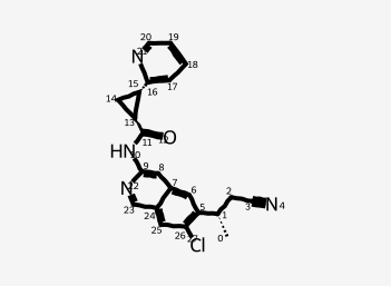 C[C@@H](CC#N)c1cc2cc(NC(=O)[C@H]3C[C@@H]3c3ccccn3)ncc2cc1Cl